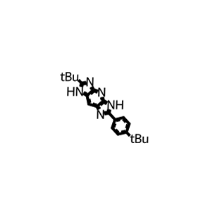 CC(C)(C)c1ccc(-c2nc3cc4[nH]c(C(C)(C)C)nc4nc3[nH]2)cc1